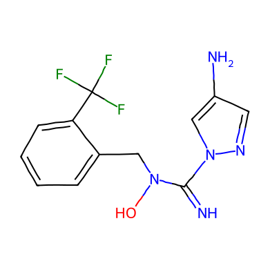 N=C(N(O)Cc1ccccc1C(F)(F)F)n1cc(N)cn1